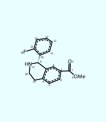 COC(=O)c1ccc2c(c1)[C@@H](c1ccccc1F)NCC2